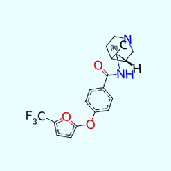 O=C(N[C@H]1CN2CCC1CC2)c1ccc(Oc2ccc(C(F)(F)F)o2)cc1